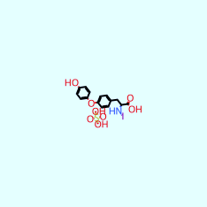 O=C(O)C(Cc1ccc(Oc2ccc(O)cc2)cc1)NI.O=S(=O)(O)O